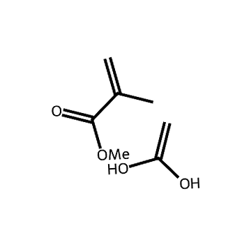 C=C(C)C(=O)OC.C=C(O)O